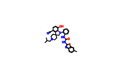 Cc1ccc2nc(NC(=O)Nc3ccccc3N3CC4(CCN(CC(C)C)CC4)c4c(C#N)ccc(O)c43)sc2c1